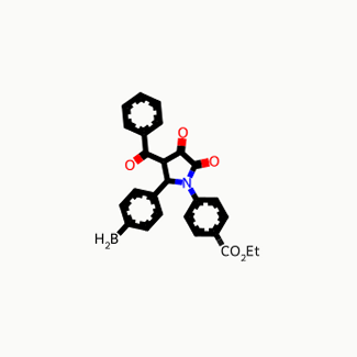 Bc1ccc(C2C(C(=O)c3ccccc3)C(=O)C(=O)N2c2ccc(C(=O)OCC)cc2)cc1